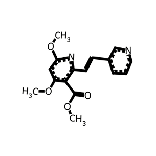 COC(=O)c1c(OC)cc(OC)nc1C=Cc1cccnc1